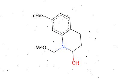 CCCCCCc1ccc2c(c1)N(COC)C(O)CC2